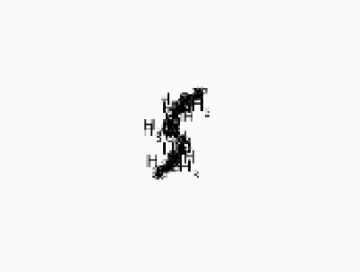 C[C@@H]1N(C(=O)/C=C/c2cc(C(=O)NCCNC(=O)OC(C)(C)c3ccc(-c4ccccc4)cc3)ccn2)CSC1(C)COC(=O)NCCNC(=O)OC(C)(C)c1ccc(-c2ccccc2)cc1